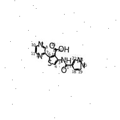 O=C(Nc1csc(-c2cnccn2)c1C(=O)O)c1ccnnc1